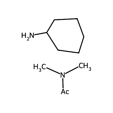 CC(=O)N(C)C.NC1CCCCC1